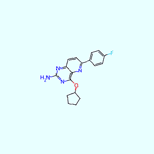 Nc1nc(OC2CCCC2)c2nc(-c3ccc(F)cc3)ccc2n1